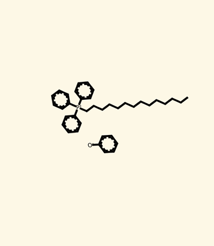 CCCCCCCCCCCCCC[P+](c1ccccc1)(c1ccccc1)c1ccccc1.[O-]c1ccccc1